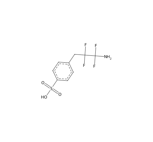 NC(F)(F)C(F)(F)Cc1ccc(S(=O)(=O)O)cc1